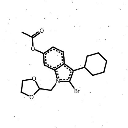 CC(=O)Oc1ccc2c(C3CCCCC3)c(Br)n(CC3OCCO3)c2c1